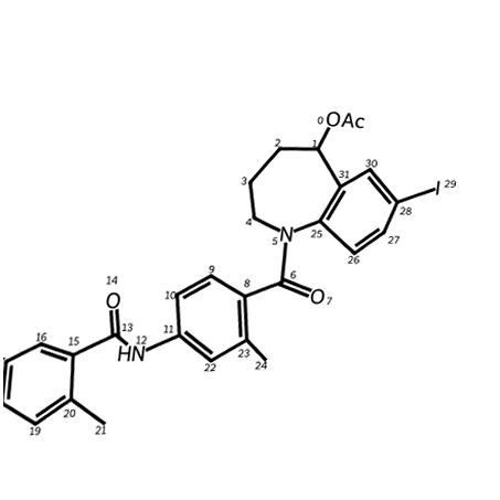 CC(=O)OC1CCCN(C(=O)c2ccc(NC(=O)c3ccccc3C)cc2C)c2ccc(I)cc21